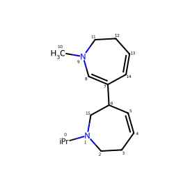 CC(C)N1CCC=CC(C2=CN(C)CCC=C2)C1